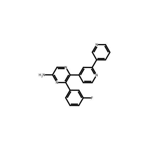 Nc1cnc(-c2ccnc(-c3cccnc3)c2)c(-c2cccc(F)c2)n1